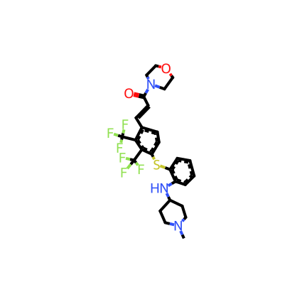 CN1CCC(Nc2ccccc2Sc2ccc(C=CC(=O)N3CCOCC3)c(C(F)(F)F)c2C(F)(F)F)CC1